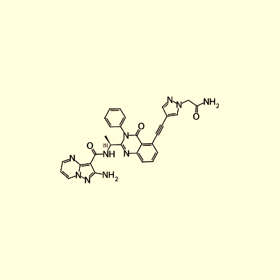 C[C@H](NC(=O)c1c(N)nn2cccnc12)c1nc2cccc(C#Cc3cnn(CC(N)=O)c3)c2c(=O)n1-c1ccccc1